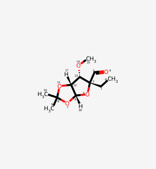 CC[C@@]1(C=O)O[C@@H]2OC(C)(C)O[C@@H]2[C@@H]1OC